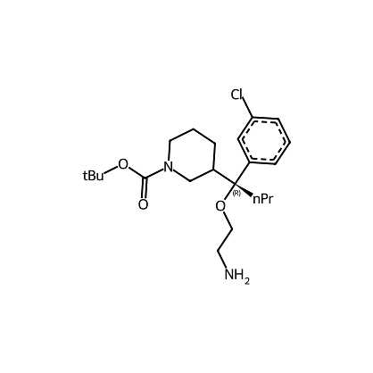 CCC[C@](OCCN)(c1cccc(Cl)c1)C1CCCN(C(=O)OC(C)(C)C)C1